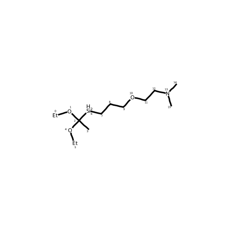 CCOC(C)(OCC)[SiH2]CCCOCCN(C)C